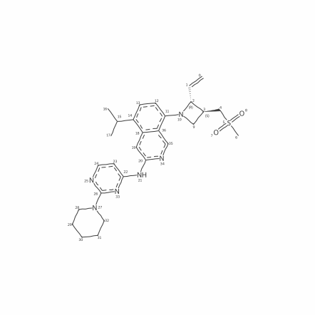 C=C[C@@H]1[C@@H](CS(C)(=O)=O)CN1c1ccc(C(C)C)c2cc(Nc3ccnc(N4CCCCC4)n3)ncc12